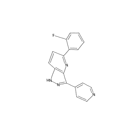 Fc1ccccc1-c1ccc2[nH]nc(-c3ccncc3)c2n1